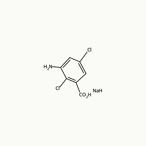 Nc1cc(Cl)cc(C(=O)O)c1Cl.[NaH]